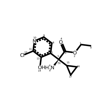 CCOC(=O)[C@@](N)(c1ccnc(Cl)c1O)C1CC1